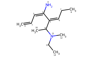 C=C/C=C(N)\C(=C/CC)C(C)N(C)CC